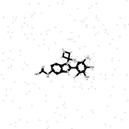 CCCC(=O)Nc1ccc2c(c1)nc(-c1cc(C)c(O)c(O)c1F)n2C1(C)COC1